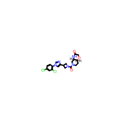 O=C1CO[C@H]2CCN(C(=O)N3CC(c4cn(-c5ccc(Cl)cc5Cl)cn4)C3)C[C@H]2N1